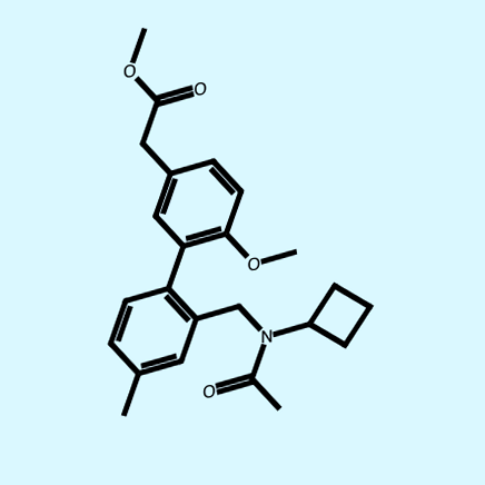 COC(=O)Cc1ccc(OC)c(-c2ccc(C)cc2CN(C(C)=O)C2CCC2)c1